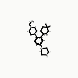 CC(C)CN1CCN(c2ccc(N3CCOCC3)cc2C2CCC(C)(C)CC2)CC1